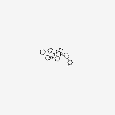 Cc1cc(C)cc(-c2ccc3c4ccccc4n(-c4cccc5c4C(=O)N(c4cccc(-c6ccccc6)c4-c4ccccc4)C5=O)c3c2)c1